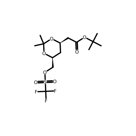 CC(C)(C)OC(=O)C[C@H]1C[C@@H](COS(=O)(=O)C(F)(F)F)OC(C)(C)O1